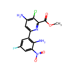 COC(=O)c1nc(-c2cc(F)cc([N+](=O)[O-])c2N)cc(N)c1Cl